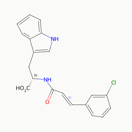 O=C(/C=C/c1cccc(Cl)c1)N[C@@H](Cc1c[nH]c2ccccc12)C(=O)O